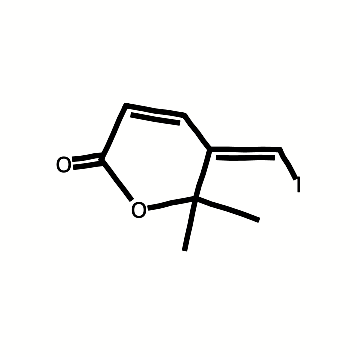 CC1(C)OC(=O)C=C/C1=C/I